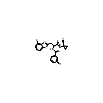 N#CC1(NC(=O)[C@H](Cc2nc3c(Cl)cccc3o2)NC(=O)c2cccc(Cl)c2)CC1